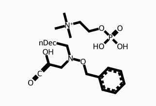 CCCCCCCCCCCN(CC(O)=C=O)OCc1ccccc1.C[N+](C)(C)CCOP(=O)(O)O